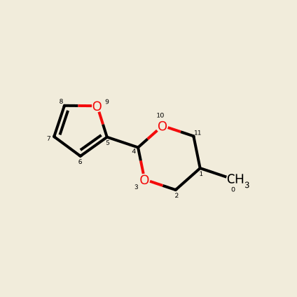 CC1COC(c2ccco2)OC1